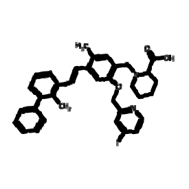 Cc1cc(CN2CCCCC2C(=O)O)c(OCc2cc(I)ccn2)cc1C=Cc1cccc(-c2ccccc2)c1C